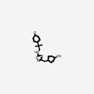 CC(C)(CNc1nc(Cc2ccc(O)cc2)ns1)c1ccc(Cl)cc1